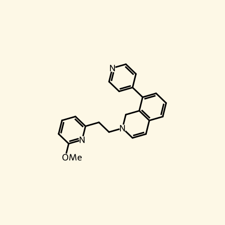 COc1cccc(CCN2C=Cc3cccc(-c4ccncc4)c3C2)n1